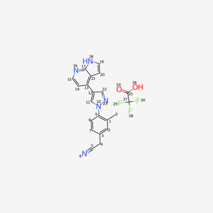 Cc1cc(CC#N)ccc1-n1cc(-c2ccnc3[nH]ccc23)cn1.O=C(O)C(F)(F)F